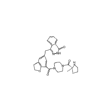 CC1(C(=O)N2CCN(C(=O)c3cc(Cc4n[nH]c(=O)c5ccccc45)cc4c3OCC4)CC2)CCCN1